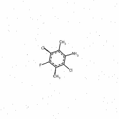 Cc1c(F)c(Cl)c(C)c(N)c1Cl